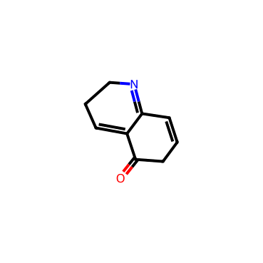 O=C1CC=CC2=NCCC=C12